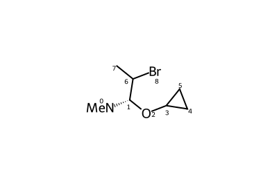 CN[C@@H](OC1CC1)C(C)Br